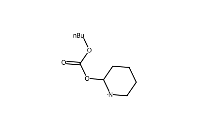 CCCCOC(=O)OC1CCCC[N]1